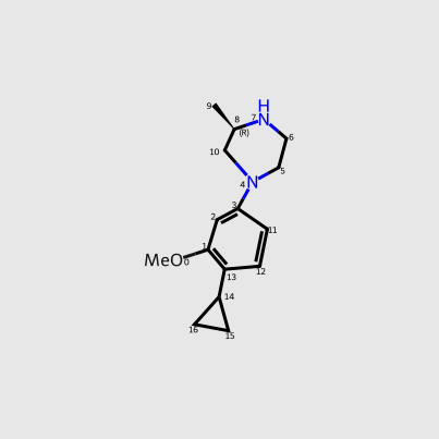 COc1cc(N2CCN[C@H](C)C2)ccc1C1CC1